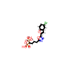 O=S(=O)(O)C(CCCc1nnc(-c2cc3cc(Br)ccc3o2)o1)S(=O)(=O)O